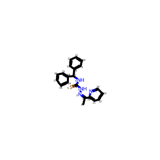 CC(=NNC(=S)NC(c1ccccc1)c1ccccc1)c1ccccn1